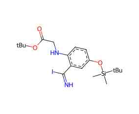 CC(C)(C)OC(=O)CNc1ccc(O[Si](C)(C)C(C)(C)C)cc1C(=N)I